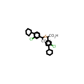 O=C(O)C(SC(C(=O)O)c1ccc(C2CCCCC2)c(Cl)c1)c1ccc(C2CCCCC2)c(Cl)c1